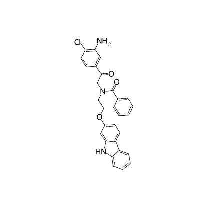 Nc1cc(C(=O)CN(CCOc2ccc3c(c2)[nH]c2ccccc23)C(=O)c2ccccc2)ccc1Cl